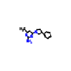 Cc1cc(N2CCC(c3ccccc3)C2)nc(N)n1